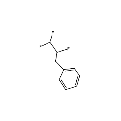 FC(F)C(F)Cc1c[c]ccc1